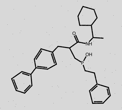 CC(NC(=O)C(Cc1ccc(-c2ccccc2)cc1)CP(O)CCc1ccccc1)C1CCCCC1